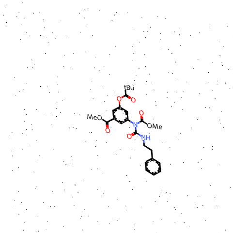 COC(=O)c1cc(OC(=O)C(C)(C)C)cc(N(C(=O)NCCc2ccccc2)C(=O)OC)c1